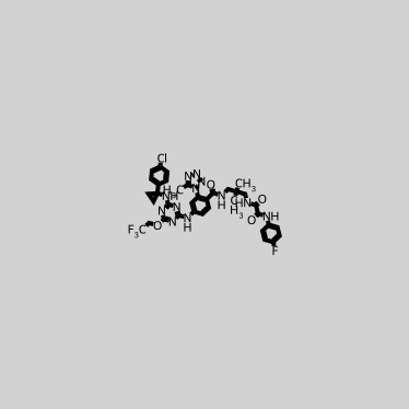 Cc1nnnn1-c1cc(Nc2nc(NC3(c4ccc(Cl)cc4)CC3)nc(OCC(F)(F)F)n2)ccc1C(=O)NCC(C)(C)CNC(=O)C(=O)Nc1ccc(F)cc1